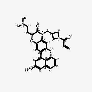 C=CC(=O)N1CC(CN2C(=O)C(CCN(C)C)Oc3cc(-c4cc(O)cc5ccccc45)c(Cl)cc32)C1